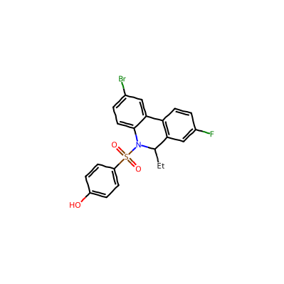 CCC1c2cc(F)ccc2-c2cc(Br)ccc2N1S(=O)(=O)c1ccc(O)cc1